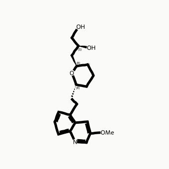 COc1cnc2cccc(CC[C@H]3CC[C][C@H](C[C@H](O)CO)O3)c2c1